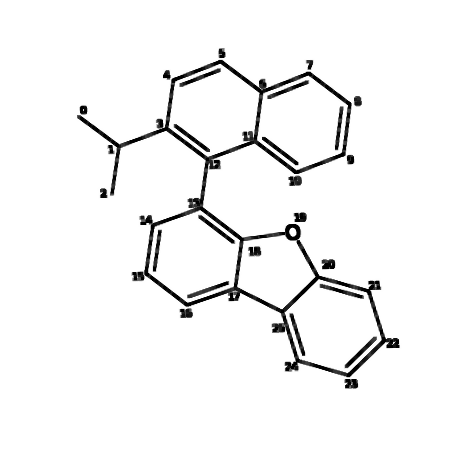 CC(C)c1ccc2ccccc2c1-c1cccc2c1oc1ccccc12